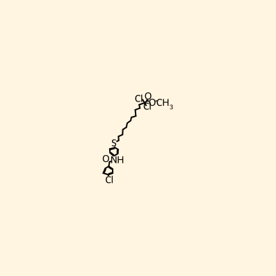 CCOC(=O)C(Cl)(Cl)CCCCCCCCCCCCSc1ccc(NC(=O)c2ccc(Cl)cc2)cc1